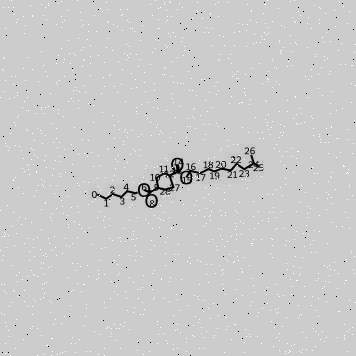 CCCCCCOC(=O)C1CCC(C(=O)OCCCCCCCCC(C)C)CC1